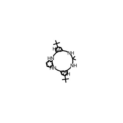 CC1(C)CNCc2cc(C(C)(C)C)cc(c2O)CNc2ccccc2NCc2cc(C(C)(C)C)cc(c2O)CNC1